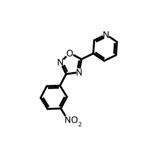 O=[N+]([O-])c1cccc(-c2noc(-c3cccnc3)n2)c1